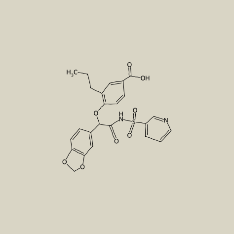 CCCc1cc(C(=O)O)ccc1OC(C(=O)NS(=O)(=O)c1cccnc1)c1ccc2c(c1)OCO2